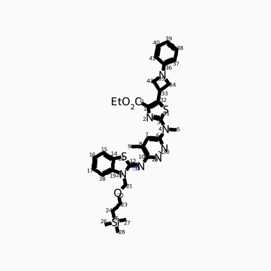 CCOC(=O)c1nc(N(C)c2cc(C)c(/N=c3\sc4ccccc4n3COCC[Si](C)(C)C)nn2)sc1C1CN(c2ccccc2)C1